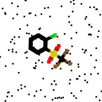 O=S(=O)(c1ccccc1Cl)C(Br)(Br)Br